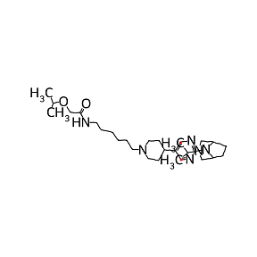 CC(C)OCC(=O)NCCCCCCN1CCC(c2cnc(N3C4CCC3CN(C(C)C)C4)nc2)CC1